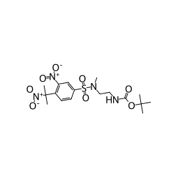 CN(CCNC(=O)OC(C)(C)C)S(=O)(=O)c1ccc(C(C)(C)[N+](=O)[O-])c([N+](=O)[O-])c1